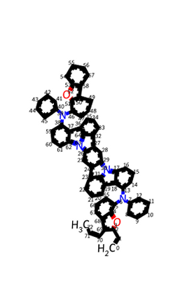 C=Cc1oc2c(N(c3ccccc3)c3cccc4c3c3cccc5c6cc7c(cc6n4c53)c3cccc4c5c(N(c6ccccc6)c6cccc8c6oc6ccccc68)cccc5n7c34)cccc2c1/C=C\C